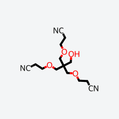 N#CCCOCC(CO)(COCCC#N)COCCC#N